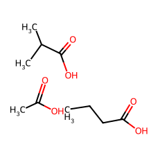 CC(=O)O.CC(C)C(=O)O.CCCC(=O)O